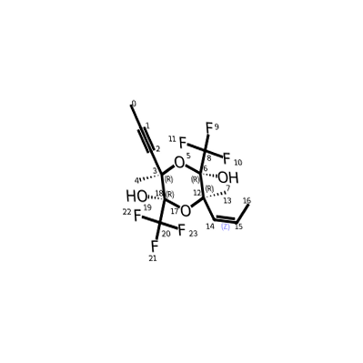 CC#C[C@@]1(C)O[C@@](O)(C(F)(F)F)[C@@](C)(/C=C\C)O[C@@]1(O)C(F)(F)F